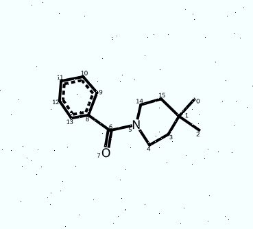 CC1(C)CCN(C(=O)c2ccccc2)CC1